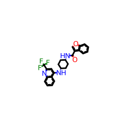 O=C(N[C@H]1CC[C@@H](Nc2cc(C(F)(F)F)nc3ccccc23)CC1)c1coc2ccccc12